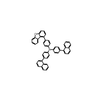 c1ccc2c(-c3ccc(N(c4ccc(-c5cccc6ccccc56)cc4)c4ccc(-c5cccc6oc7ccccc7c56)cc4)cc3)cccc2c1